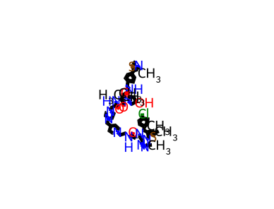 Cc1ncsc1-c1ccc(CNC(=O)[C@@H]2C[C@@H](O)CN2C(=O)[C@@H](NC(=O)CN2CCN(CC3CCN(CCNC(=O)C[C@@H]4N=C(c5ccc(Cl)cc5)c5c(sc(C)c5C)-n5c(C)nnc54)CC3)CC2)C(C)(C)C)cc1